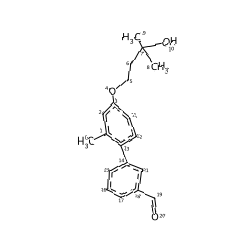 Cc1cc(OCCC(C)(C)O)ccc1-c1cccc(C=O)c1